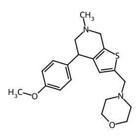 COc1ccc(C2CN(C)Cc3sc(CN4CCOCC4)cc32)cc1